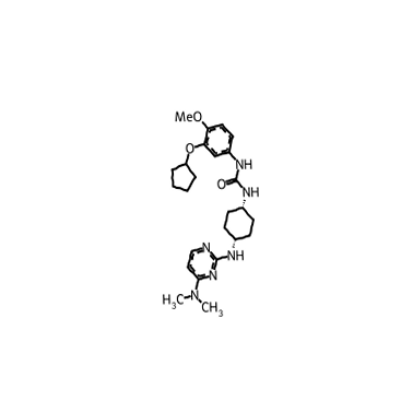 COc1ccc(NC(=O)N[C@H]2CC[C@@H](Nc3nccc(N(C)C)n3)CC2)cc1OC1CCCC1